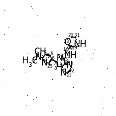 CN(C)c1ccc(-c2cc3nccnc3c(NC[C@H]3CNCCO3)n2)cn1